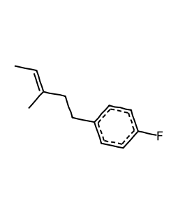 C/C=C(\C)CCc1ccc(F)cc1